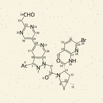 CC(=O)c1nn(CC(=O)N2C3C[C@]3(C)C[C@H]2C(=O)Nc2nc(Br)ccc2C)c2cnc(-c3cnc(CC=O)nc3)cc12